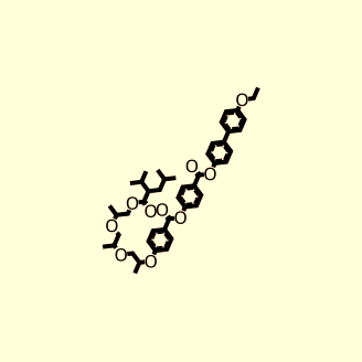 CCOc1ccc(-c2ccc(OC(=O)c3ccc(OC(=O)c4ccc(OC(C)COC(C)COC(C)COC(=O)C(CC(C)C)C(C)C)cc4)cc3)cc2)cc1